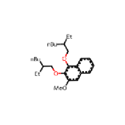 CCCCC(CC)COc1c(OC)cc2ccccc2c1OCC(CC)CCCC